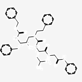 CC(C)C[C@H](NC(=O)N(CCc1ccccc1)C[C@@H](O)[C@H](Cc1ccccc1)NC(=O)OCc1ccccc1)C(=O)NCC(=O)Nc1ccccc1